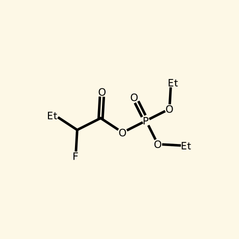 CCOP(=O)(OCC)OC(=O)C(F)CC